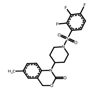 Cc1ccc2c(c1)COC(=O)N2C1CCN(S(=O)(=O)c2ccc(F)c(F)c2F)CC1